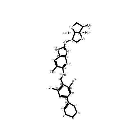 O[C@@H]1CO[C@H]2[C@@H]1OC[C@H]2Oc1nc2nc(NCc3c(F)cc(C4=CCCCC4)cc3F)c(Cl)cc2[nH]1